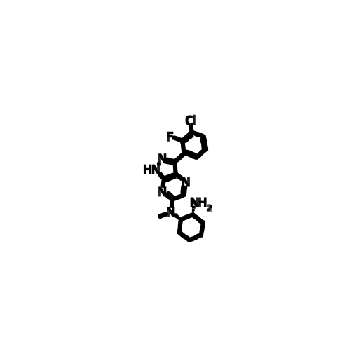 CN(c1cnc2c(-c3cccc(Cl)c3F)n[nH]c2n1)[C@@H]1CCCC[C@H]1N